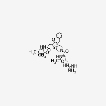 CC(=O)N[C@@H](CCCNC(=N)N)C(=O)N1CCC2(CC1)SC(CC(=O)N[C@@H](CC(C)C)C(=O)O)C(=O)N2Cc1ccccc1